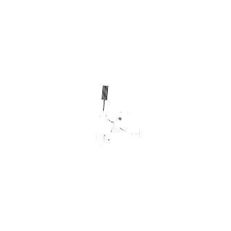 C#COP(N)(=O)O